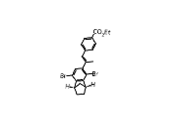 CCOC(=O)c1ccc(C=C(C)c2cc(Br)c3c(c2Br)[C@@H]2CC[C@H]3C2)cc1